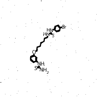 NC(=S)Nc1cccc(OCCCCCCCNC(=S)Nc2ccc(Br)cc2)c1